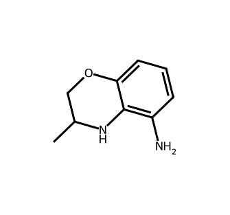 CC1COc2cccc(N)c2N1